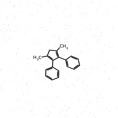 CC1=C(c2ccccc2)C(c2ccccc2)=C(C)[CH]1